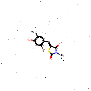 COc1cc(/C=C2\SC(=O)N(C)C2=O)c(Br)cc1O